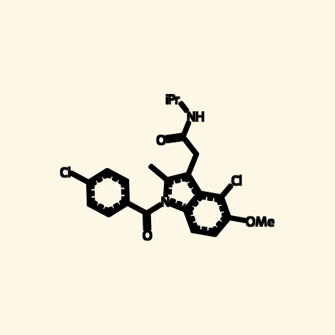 COc1ccc2c(c1Cl)c(CC(=O)NC(C)C)c(C)n2C(=O)c1ccc(Cl)cc1